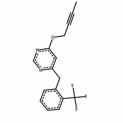 CC#CCOc1cc(Cc2ccccc2C(F)(F)F)ncn1